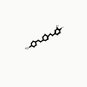 CC1CCC(CCC2CC=C(CCc3ccc(F)c(F)c3)CC2)CC1